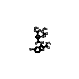 CC(C)(C)OC(=O)NC1C(C(=O)Nc2c(C(N)=O)oc3ccc(Br)cc23)CN1C(=O)OC(C)(C)C